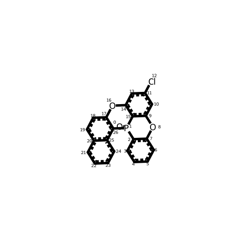 O=P12c3ccccc3Oc3cc(Cl)cc(c31)Oc1ccc3ccccc3c12